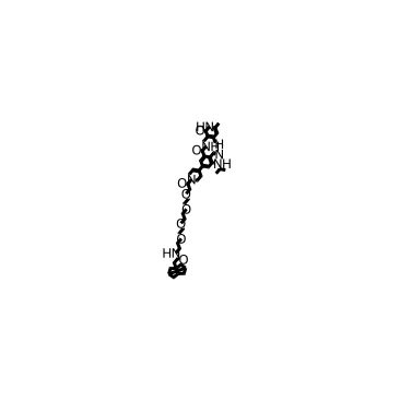 Cc1cc(C)c(CNC(=O)c2cc(C3=CCN(C(=O)COCCOCCOCCOCCNC(=O)CC45CC6CC4CC6C5)CC3)cc(NC(C)C)c2C=N)c(=O)[nH]1